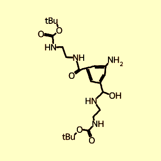 CC(C)(C)OC(=O)NCCNC(=O)c1cc(N)cc(C(O)NCCNC(=O)OC(C)(C)C)c1